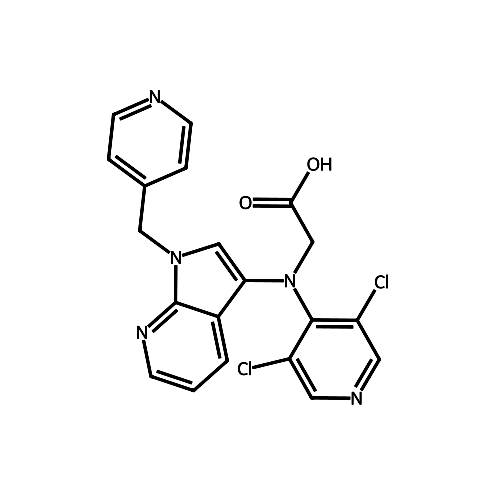 O=C(O)CN(c1c(Cl)cncc1Cl)c1cn(Cc2ccncc2)c2ncccc12